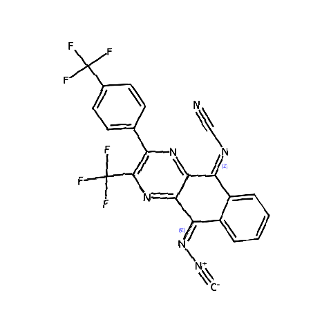 [C-]#[N+]/N=C1\c2ccccc2/C(=N/C#N)c2nc(-c3ccc(C(F)(F)F)cc3)c(C(F)(F)F)nc21